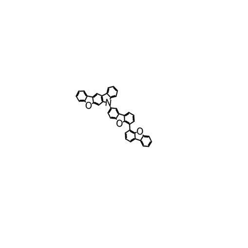 c1ccc2c(c1)oc1cc3c(cc12)c1ccccc1n3-c1ccc2oc3c(-c4cccc5c4oc4ccccc45)cccc3c2c1